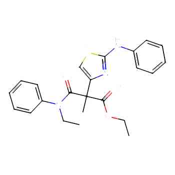 CCOC(=O)C(C)(C(=O)N(CC)c1ccccc1)c1csc(Nc2ccccc2)n1